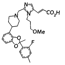 COCCCn1c(/C=C/C(=O)O)cnc1CN1CCC(c2cccc3c2OC(C)(c2ccc(C)cc2F)O3)CC1